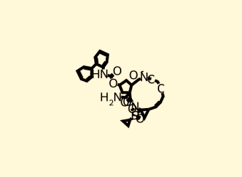 CN1CCCCC=CC2CC2(S(=O)(=O)C2CC2)NC(=O)C2(C(N)=O)CC(OC(=O)Nc3ccccc3-c3ccccc3)CC2C1=O